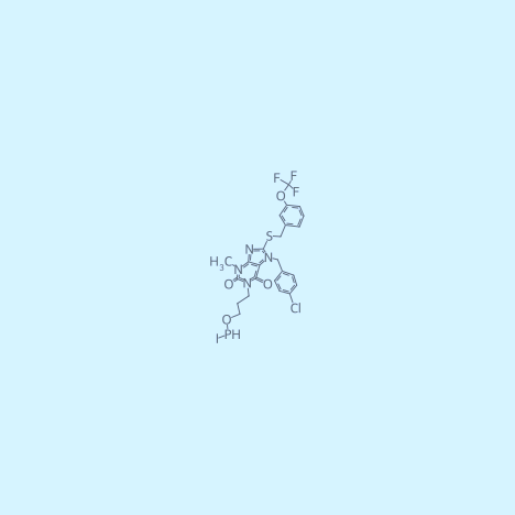 Cn1c(=O)n(CCCOPI)c(=O)c2c1nc(SCc1cccc(OC(F)(F)F)c1)n2Cc1ccc(Cl)cc1